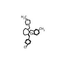 Cc1cccc(CC2(O)C(=Cc3ccc(Cl)cc3)CCCCC2CN2CCN(C)CC2)c1